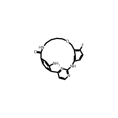 Nc1cc2ccc1-c1ccnc(n1)Nc1ccc(F)c(c1)COCCCCNC2=O